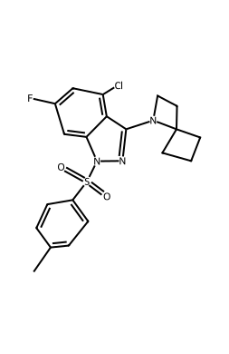 Cc1ccc(S(=O)(=O)n2nc(N3CCC34CCC4)c3c(Cl)cc(F)cc32)cc1